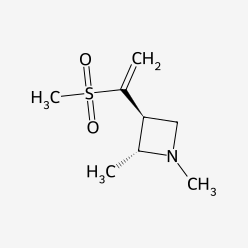 C=C([C@H]1CN(C)[C@@H]1C)S(C)(=O)=O